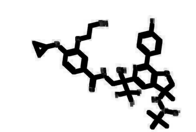 CC1(N[S+]([O-])C(C)(C)C)COc2c1cc(C(O)(CNC(=O)c1ccc(OC3CC3)c(OCCO)c1)C(F)(F)F)nc2-c1ccc(F)cc1